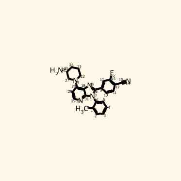 Cc1ccccc1-n1c(-c2ccc(C#N)c(F)c2)nc2c(N3CCC[C@@H](N)C3)ccnc21